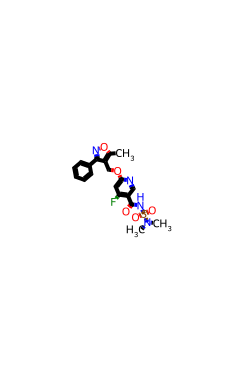 Cc1onc(-c2ccccc2)c1COc1cc(F)c(C(=O)NS(=O)(=O)N(C)C)cn1